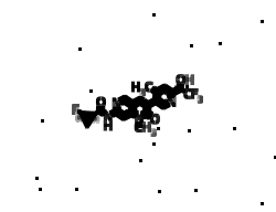 Cc1cc([C@@H](O)C(F)(F)F)ncc1-c1cc2cnc(NC(=O)[C@H]3C[C@H]3F)cc2n(C)c1=O